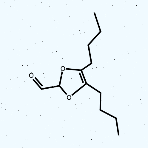 CCCCC1=C(CCCC)OC(C=O)O1